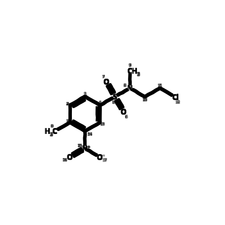 Cc1ccc(S(=O)(=O)N(C)CCCl)cc1[N+](=O)[O-]